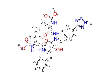 CC[C@H](C)[C@H](NC(=O)OC)C(=O)NN(Cc1ccc(-c2nnn(C)n2)cc1)C[C@H](O)[C@H](Cc1ccccc1)NC(=O)[C@@H](NC(=O)OC)C(C)(C)C